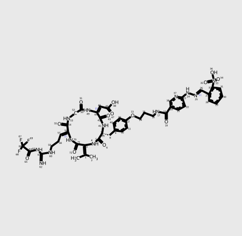 CC(C)=C1NC(=O)[C@@H](Cc2ccc(OCCCNC(=O)c3ccc(N/N=C/c4ccccc4S(=O)(=O)O)nc3)cc2)NC(=O)/C(=C\C(=O)O)NC(=O)CNC(=O)/C(=C/CCNC(=N)NC(=O)C(F)(F)F)NC1=O